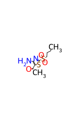 CCCCS(=O)(=O)c1nc(N)c(C(C)=O)s1